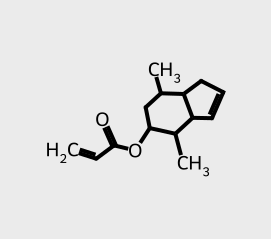 C=CC(=O)OC1CC(C)C2CC=CC2C1C